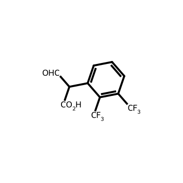 O=CC(C(=O)O)c1cccc(C(F)(F)F)c1C(F)(F)F